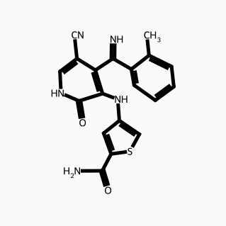 Cc1ccccc1C(=N)c1c(C#N)c[nH]c(=O)c1Nc1csc(C(N)=O)c1